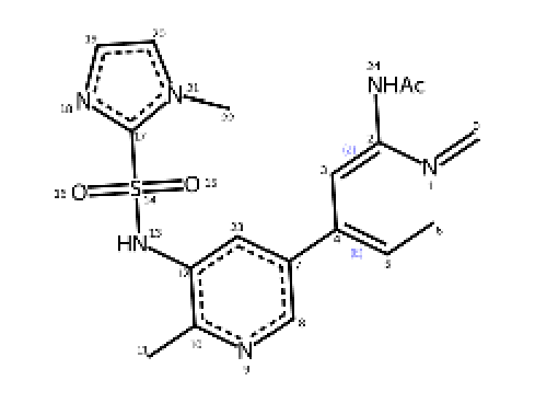 C=N/C(=C\C(=C/C)c1cnc(C)c(NS(=O)(=O)c2nccn2C)c1)NC(C)=O